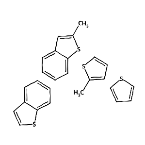 Cc1cc2ccccc2s1.Cc1cccs1.c1ccc2sccc2c1.c1ccsc1